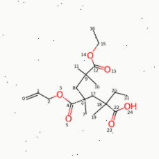 C=CCOC(=O)C(C)(CC(C)(C)C(=O)OCC)CC(C)(CC)C(=O)O